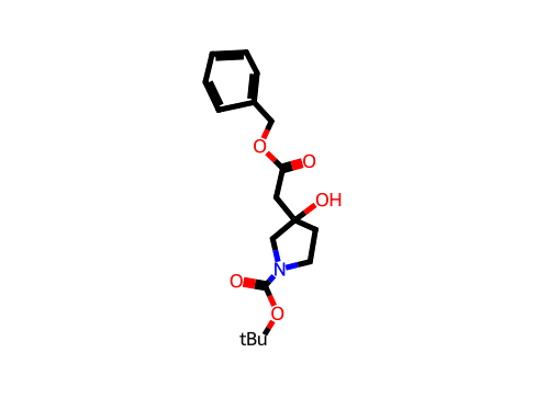 CC(C)(C)OC(=O)N1CCC(O)(CC(=O)OCc2ccccc2)C1